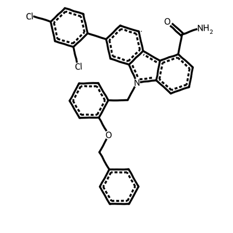 NC(=O)c1cccc2c1c1[c]cc(-c3ccc(Cl)cc3Cl)cc1n2Cc1ccccc1OCc1ccccc1